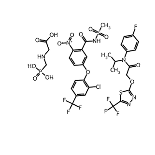 CC(C)N(C(=O)COc1nnc(C(F)(F)F)s1)c1ccc(F)cc1.CS(=O)(=O)NC(=O)c1cc(Oc2ccc(C(F)(F)F)cc2Cl)ccc1[N+](=O)[O-].O=C(O)CNCP(=O)(O)O